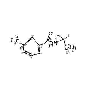 CC(C)(NC(=O)c1cccc(C(F)(F)F)c1)C(=O)O